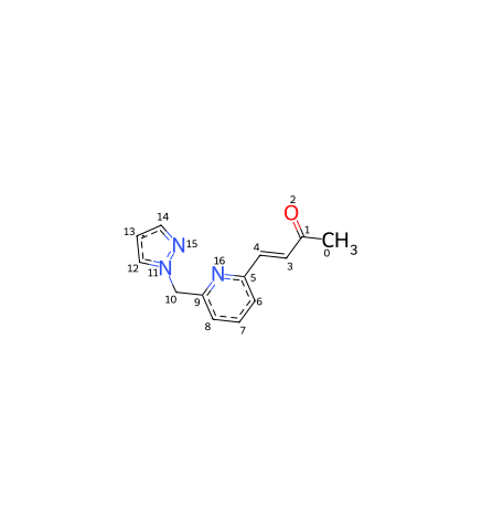 CC(=O)C=Cc1cccc(Cn2c[c]cn2)n1